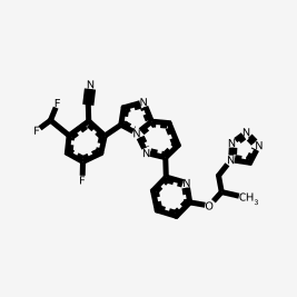 CC(Cn1cnnn1)Oc1cccc(-c2ccc3ncc(-c4cc(F)cc(C(F)F)c4C#N)n3n2)n1